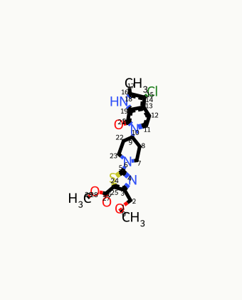 COCc1nc(N2CCC(n3ccc4c(Cl)c(C)[nH]c4c3=O)CC2)sc1C(=O)OC